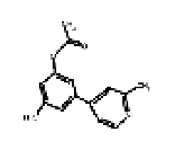 Cc1cc(OC(N)=O)cc(-c2ccnc(C)c2)c1